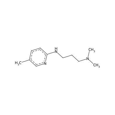 Cc1ccc(NCCCN(C)C)nc1